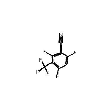 N#Cc1c(F)cc(F)c(C(F)(F)F)c1F